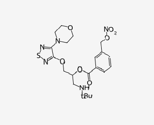 CC(C)(C)NCC(COc1nsnc1N1CCOCC1)OC(=O)c1cccc(CO[N+](=O)[O-])c1